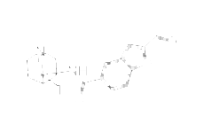 O=Cc1cc2cc(C(=O)N[C@H]3CN4CCC3CC4)ccc2o1